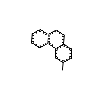 Fc1[c]cc2ccc3c[c]ccc3c2c1